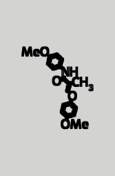 COc1ccc(NC(=O)/C(C)=C/Oc2ccc(OC)cc2)cc1